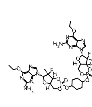 CCOc1nc(N)nc2c1ncn2[C@@H]1O[C@@H]2COP(=O)(OC3CCC(OP4(=O)OC[C@H]5O[C@@H](n6cnc7c(OCC)nc(N)nc76)[C@](C)(F)[C@@H]5O4)CC3)O[C@H]2[C@@]1(C)F